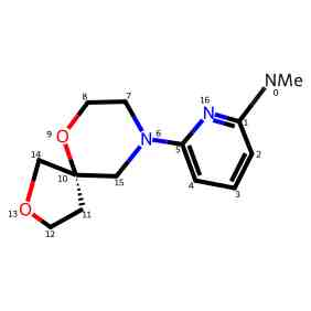 CNc1cccc(N2CCO[C@@]3(CCOC3)C2)n1